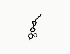 CCCCCc1ccc(-c2ccc([C@H]3CC[C@H](C)CC3=O)cc2)cc1